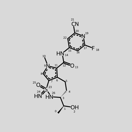 C[C@H](O)[C@H]1CCc2c(cn(C)c2C(=O)Nc2cc(F)nc(C#N)c2)S(=N)(=O)N1